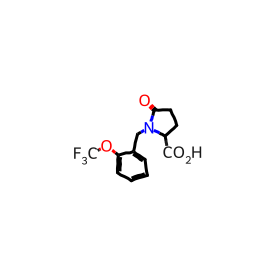 O=C(O)C1CCC(=O)N1Cc1ccccc1OC(F)(F)F